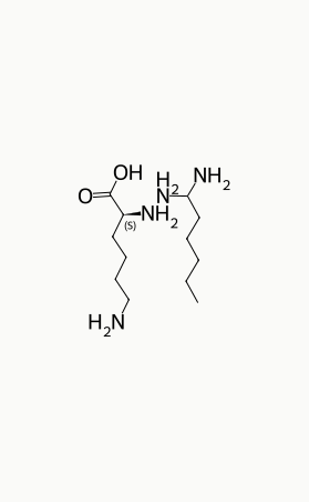 CCCCCC(N)N.NCCCC[C@H](N)C(=O)O